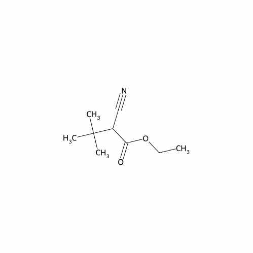 CCOC(=O)C(C#N)C(C)(C)C